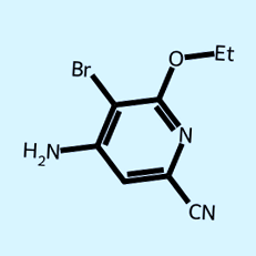 CCOc1nc(C#N)cc(N)c1Br